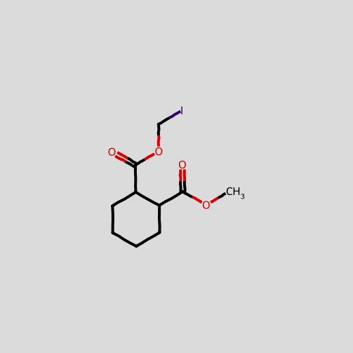 COC(=O)C1CCCCC1C(=O)OCI